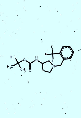 CC(C)(C)OC(=O)NC1CCN(Cc2ccccc2C(F)(F)F)C1